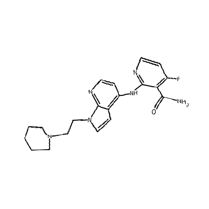 NC(=O)c1c(F)ccnc1Nc1ccnc2c1ccn2CCN1CCCCC1